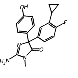 CN1C(=O)C(c2ccc(O)cc2)(c2ccc(F)c(C3CC3)c2)N=C1N